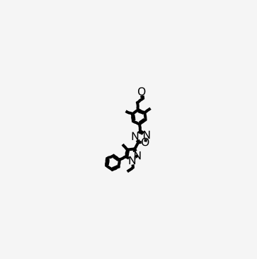 CCn1nc(-c2nc(-c3cc(C)c(CC=O)c(C)c3)no2)c(C)c1-c1ccccc1